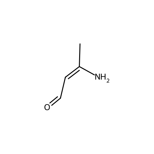 CC(N)=CC=O